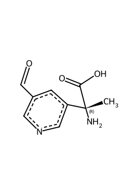 C[C@](N)(C(=O)O)c1cncc(C=O)c1